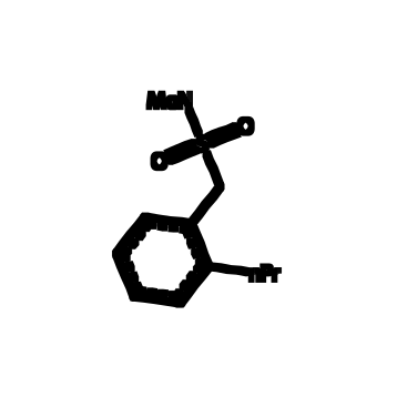 CCCc1ccccc1CS(=O)(=O)NC